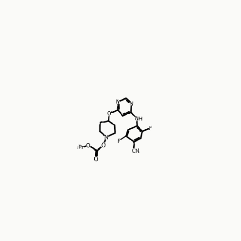 CC(C)OC(=O)ON1CCC(Oc2cc(Nc3cc(F)c(C#N)cc3F)ncn2)CC1